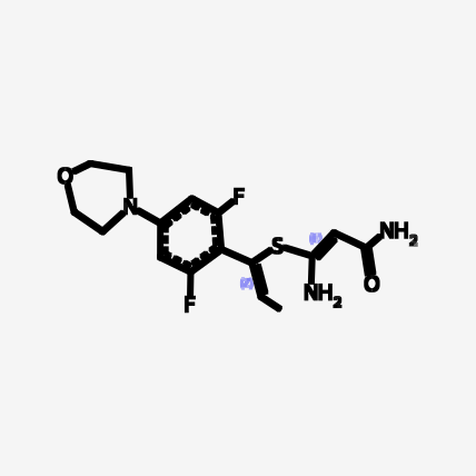 C/C=C(\S/C(N)=C/C(N)=O)c1c(F)cc(N2CCOCC2)cc1F